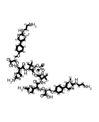 C[n+]1cc(-c2ccc(OC[C@H](O/N=C(\C(=O)N[C@@H]3C(=O)N(OS(=O)(=O)ON4C(=O)[C@@H](NC(=O)/C(=N\O[C@@H](COc5ccc(-c6cnc(NCCN)[n+](C)c6)cc5)C(=O)O)c5csc(N)n5)C4(C)C)C3(C)C)c3csc(N)n3)C(=O)O)cc2)cnc1NCCN